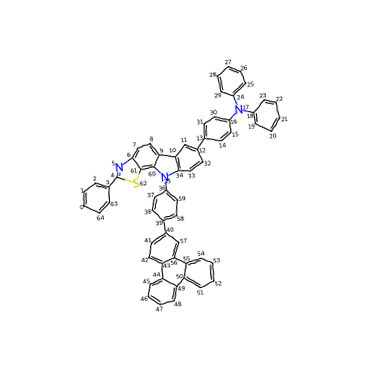 c1ccc(-c2nc3ccc4c5cc(-c6ccc(N(c7ccccc7)c7ccccc7)cc6)ccc5n(-c5ccc(-c6ccc7c8ccccc8c8ccccc8c7c6)cc5)c4c3s2)cc1